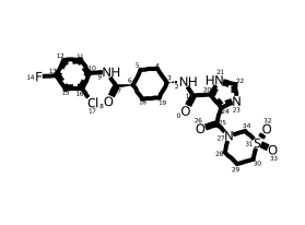 O=C(N[C@H]1CC[C@H](C(=O)Nc2ccc(F)cc2Cl)CC1)c1[nH]cnc1C(=O)N1CCCS(=O)(=O)C1